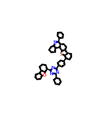 c1ccc(-c2nc(-c3ccc(-c4cccc5c4sc4c5ccc5c(-c6ccccc6)nc6ccccc6c54)cc3)nc(-c3cccc4c3oc3ccccc34)n2)cc1